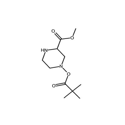 COC(=O)C1CN(OC(=O)C(C)(C)C)CCN1